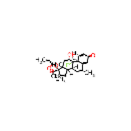 CCC(=O)O[C@]1(C(C)=O)[C@@H](C)C[C@H]2[C@@H]3C[C@H](C)C4=CC(=O)C=C[C@]4(C)[C@@]3(F)[C@@H](O)C[C@@]21C